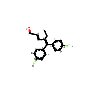 CCC(/C=C/C=O)=C(c1ccc(F)cc1)c1ccc(F)cc1